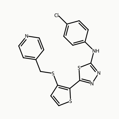 Clc1ccc(Nc2nnc(-c3sccc3SCc3ccncc3)s2)cc1